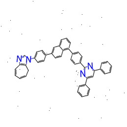 C1=CCc2c(ncn2-c2ccc(-c3ccc4c(-c5ccc(-c6nc(-c7ccccc7)cc(-c7ccccc7)n6)cc5)cccc4c3)cc2)C=C1